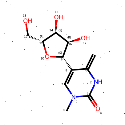 C=C1NC(=O)N(C)C=C1[C@@H]1O[C@H](CO)[C@@H](O)[C@H]1O